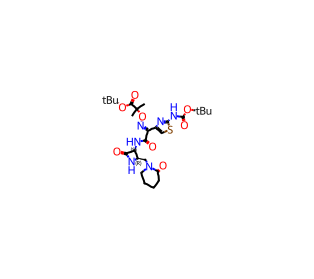 CC(C)(C)OC(=O)Nc1nc(C(=NOC(C)(C)C(=O)OC(C)(C)C)C(=O)N[C@@H]2C(=O)N[C@@H]2CN2CCCCC2=O)cs1